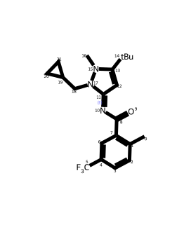 Cc1ccc(C(F)(F)F)cc1C(=O)/N=c1\cc(C(C)(C)C)n(C)n1CC1CC1